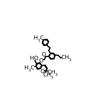 CCCc1ccc(C(=O)COc2c3c(cc(C)c2CO)OC(C)(C)C=C3)c(CCc2ccc(C)cc2)c1